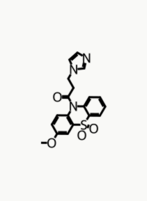 COc1ccc2c(c1)S(=O)(=O)c1ccccc1N2C(=O)CCn1ccnc1